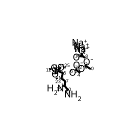 CC(=O)[O-].CC(=O)[O-].CC(=O)[O-].CO[Si](CCCC(N)CN)(OC)OC.[Na+].[Na+].[Na+]